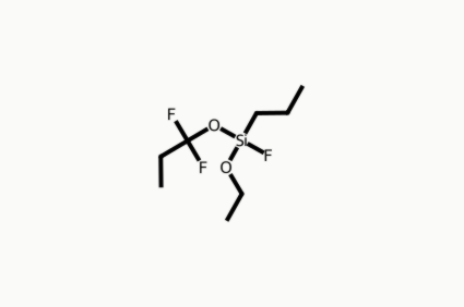 CCC[Si](F)(OCC)OC(F)(F)CC